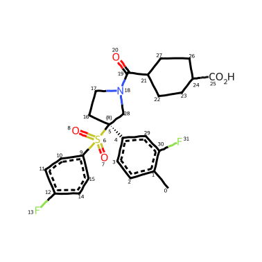 Cc1ccc([C@]2(S(=O)(=O)c3ccc(F)cc3)CCN(C(=O)C3CCC(C(=O)O)CC3)C2)cc1F